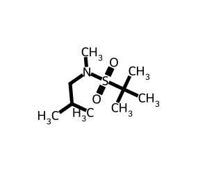 CC(C)CN(C)S(=O)(=O)C(C)(C)C